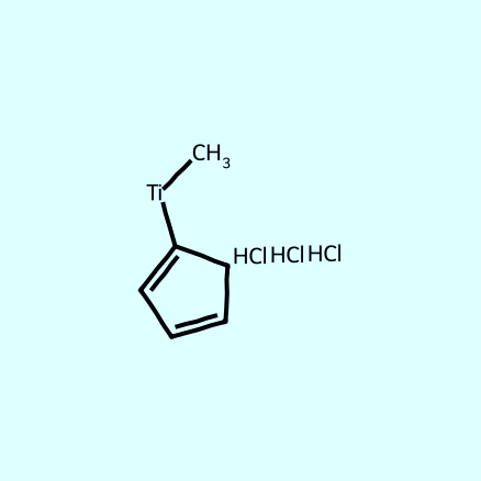 Cl.Cl.Cl.[CH3][Ti][C]1=CC=CC1